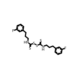 Fc1cccc(CCCNC(=S)SSC(=S)NCCCc2cccc(F)c2)c1